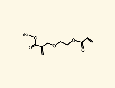 C=CC(=O)OCCOCC(=C)C(=O)OCCCC